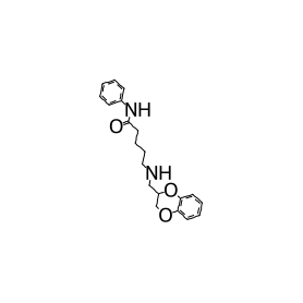 O=C(CCCCNCC1COc2ccccc2O1)Nc1ccccc1